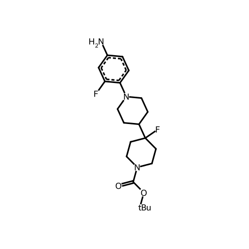 CC(C)(C)OC(=O)N1CCC(F)(C2CCN(c3ccc(N)cc3F)CC2)CC1